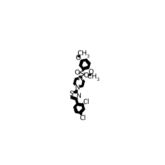 COc1ccc(OC)c(S(=O)(=O)N2CCN(c3nc(-c4ccc(Cl)cc4Cl)cs3)CC2)c1